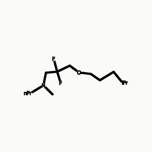 CCCN(C)CC(F)(F)COCCCC(C)C